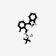 Cc1cccc(-c2noc3ccccc23)c1/C=N/[S@@+]([O-])C(C)(C)C